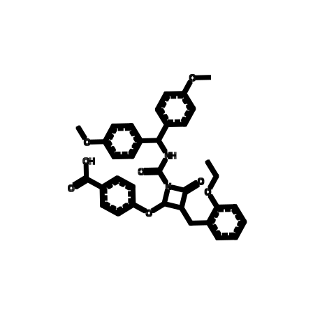 CCOc1ccccc1CC1C(=O)N(C(=O)NC(c2ccc(OC)cc2)c2ccc(OC)cc2)C1Oc1ccc(C(=O)O)cc1